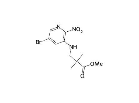 COC(=O)C(C)(C)CNc1cc(Br)cnc1[N+](=O)[O-]